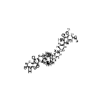 [2H]C1([2H])N(CC2CCN(c3ccc(-c4nc5cc(OC)cc(OC)c5c(=O)[nH]4)cc3)CC2)C([2H])([2H])C([2H])([2H])N(c2ccc3c(c2)C(=O)N(C2CCC(=O)NC2=O)C3=O)C1([2H])[2H]